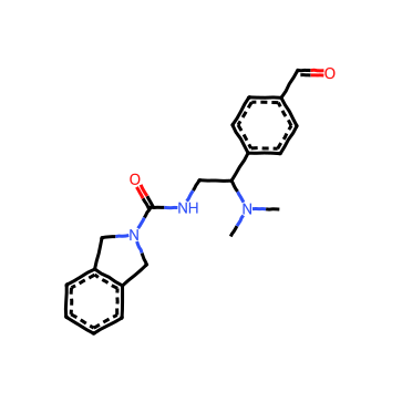 CN(C)C(CNC(=O)N1Cc2ccccc2C1)c1ccc(C=O)cc1